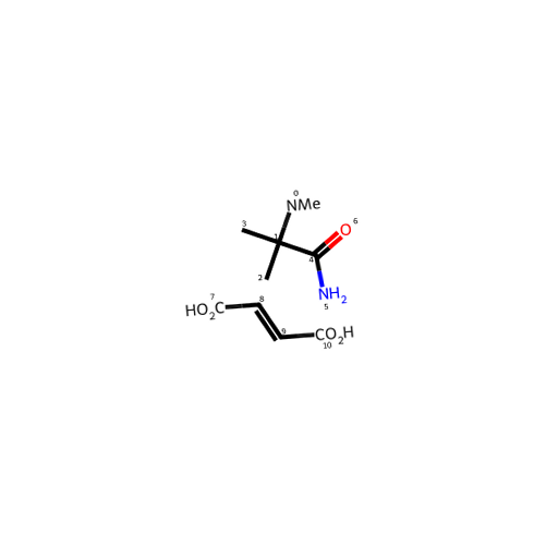 CNC(C)(C)C(N)=O.O=C(O)/C=C/C(=O)O